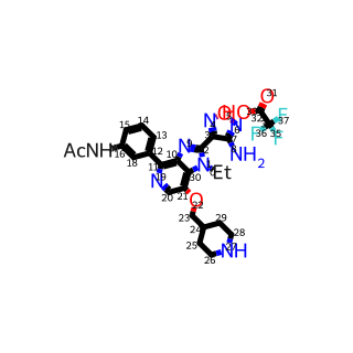 CCn1c(-c2nonc2N)nc2c(-c3cccc(NC(C)=O)c3)ncc(OCC3CCNCC3)c21.O=C(O)C(F)(F)F